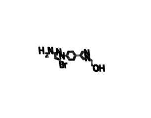 Nc1cc(Br)n(-c2ccc(-c3cnn(CCO)c3)cc2)n1